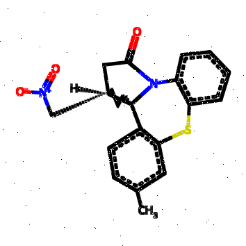 Cc1ccc2c(c1)Sc1ccccc1N1C(=O)C[C@H]3[C@H](C[N+](=O)[O-])CC[C@]231